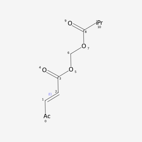 CC(=O)/C=C/C(=O)OCOC(=O)C(C)C